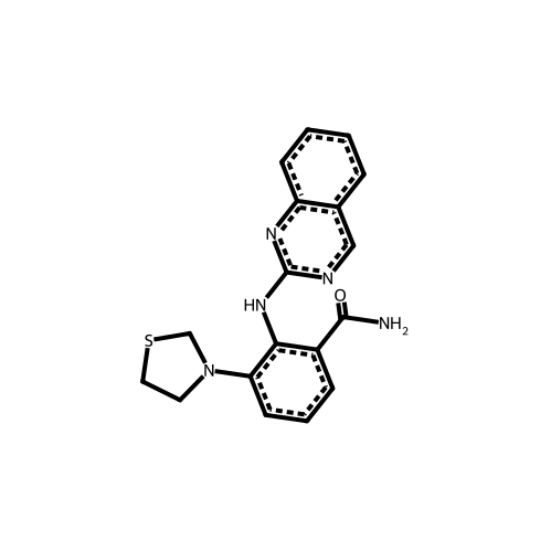 NC(=O)c1cccc(N2CCSC2)c1Nc1ncc2ccccc2n1